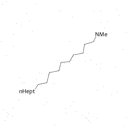 [CH2]NCCCCCCCCCCCCCCCCC